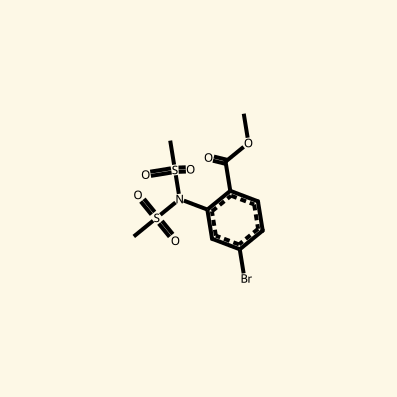 COC(=O)c1ccc(Br)cc1N(S(C)(=O)=O)S(C)(=O)=O